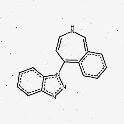 C1=CC(n2nnc3ccccc32)=c2ccccc2=CN1